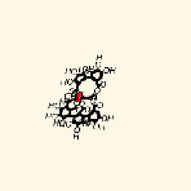 O=C1O[C@H]2[C@@H]3OC(=O)c4c(c(O)c(O)c(O)c4-c4c(O)c(O)c(O)c5c4C(=O)O[C@H]3[C@H]5O)-c3c(cc(O)c(O)c3O)C(=O)O[C@@H]2COC(=O)c2cc(O)c(O)c(O)c2-c2cc1c(O)c(O)c2O